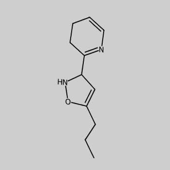 CCCC1=CC(C2=NC=CCC2)NO1